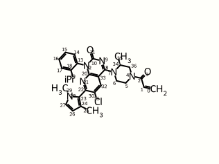 C=CC(=O)N1CCN(c2nc(=O)n(-c3ccccc3C(C)C)c3nc(-c4c(C)ccn4C)c(Cl)cc23)[C@@H](C)C1